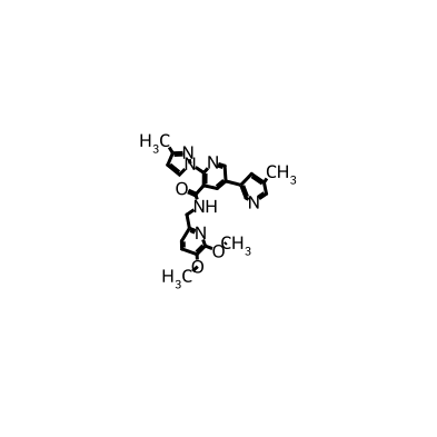 COc1ccc(CNC(=O)c2cc(-c3cncc(C)c3)cnc2-n2ccc(C)n2)nc1OC